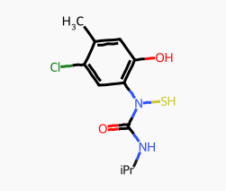 Cc1cc(O)c(N(S)C(=O)NC(C)C)cc1Cl